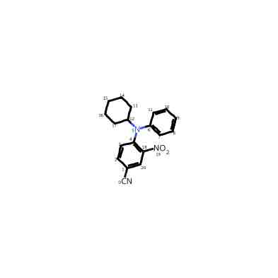 N#Cc1ccc(N(c2ccccc2)C2CCCCC2)c([N+](=O)[O-])c1